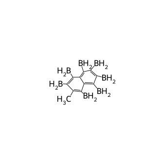 Bc1c(B)c(B)c2c(B)c(C)c(B)c(B)c2c1B